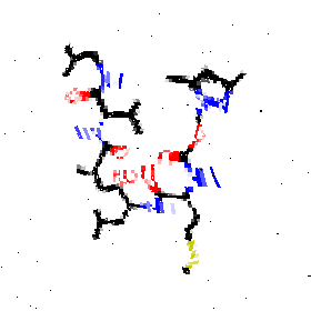 CSCC[C@H](NC(=O)OCn1nc(C)cc1C)C(=O)N[C@@H](CC(C)C)[C@@H](O)C[C@@H](C)C(=O)N[C@H](C(=O)NCC(C)C)C(C)C